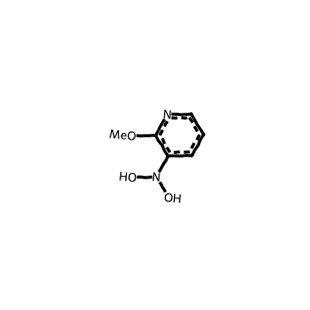 COc1ncccc1N(O)O